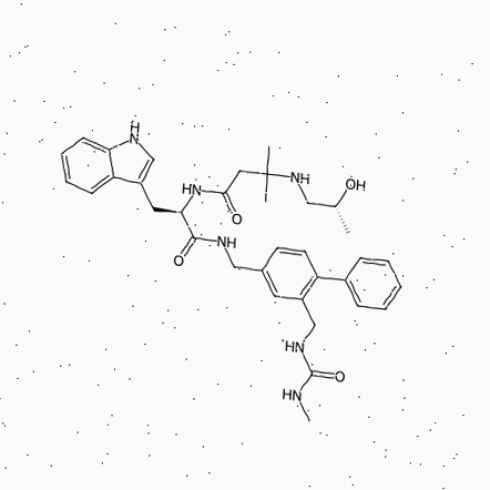 CNC(=O)NCc1cc(CNC(=O)[C@@H](Cc2c[nH]c3ccccc23)NC(=O)CC(C)(C)NC[C@@H](C)O)ccc1-c1ccccc1